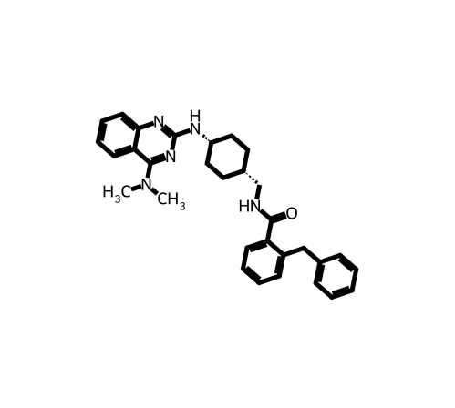 CN(C)c1nc(N[C@H]2CC[C@@H](CNC(=O)c3ccccc3Cc3ccccc3)CC2)nc2ccccc12